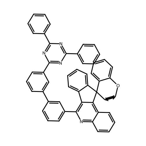 c1ccc(-c2nc(-c3ccccc3)nc(-c3cccc(-c4cccc(-c5nc6ccccc6c6c5-c5ccccc5C65c6ccccc6Oc6ccccc65)c4)c3)n2)cc1